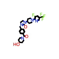 O=C(c1ccc(CN2CCN(C3CCN(c4ncc(C(F)(F)F)cc4F)CC3)C2=O)cc1)N1CCC(O)CC1